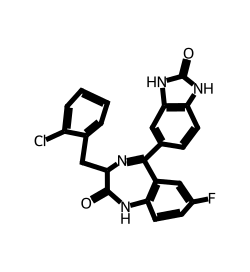 O=C1Nc2ccc(F)cc2C(c2ccc3[nH]c(=O)[nH]c3c2)=NC1Cc1ccccc1Cl